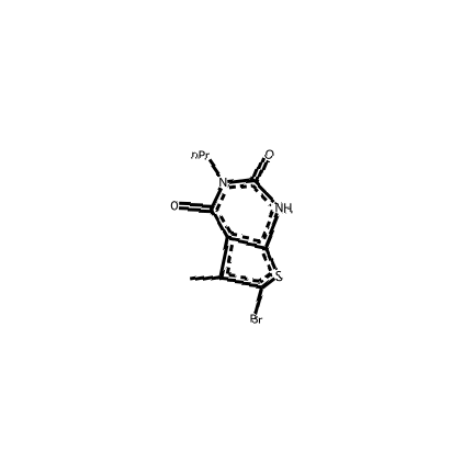 CCCn1c(=O)[nH]c2sc(Br)c(C)c2c1=O